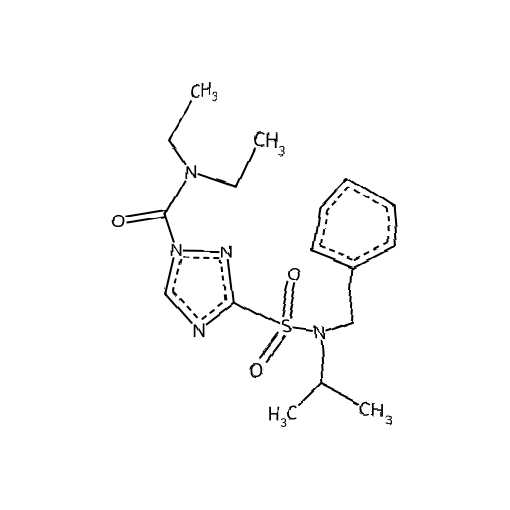 CCN(CC)C(=O)n1cnc(S(=O)(=O)N(Cc2ccccc2)C(C)C)n1